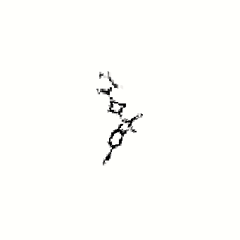 Cn1c(=O)n([C@H]2C[C@H](C(=O)NN)C2)c2ccc(C#N)cc21